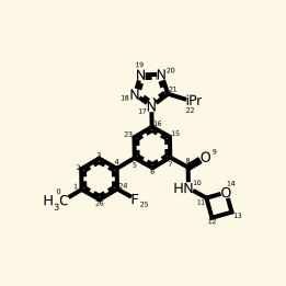 Cc1ccc(-c2cc(C(=O)NC3CCO3)cc(-n3nnnc3C(C)C)c2)c(F)c1